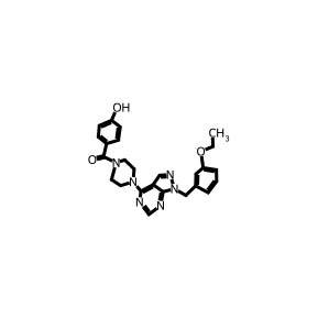 CCOc1cccc(Cn2ncc3c(N4CCN(C(=O)c5ccc(O)cc5)CC4)ncnc32)c1